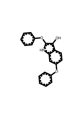 Oc1c(Oc2ccccc2)[nH]c2cc(Oc3ccccc3)ccc12